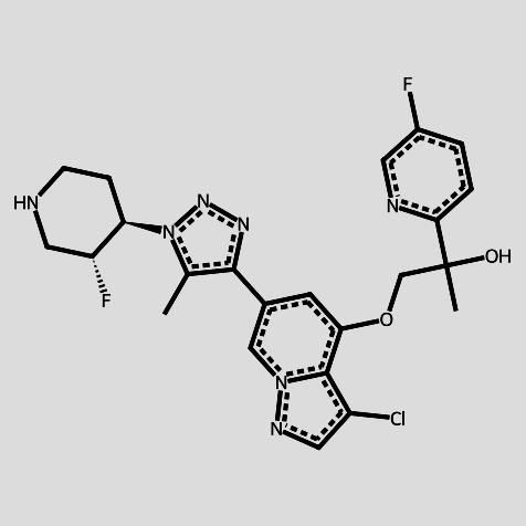 Cc1c(-c2cc(OCC(C)(O)c3ccc(F)cn3)c3c(Cl)cnn3c2)nnn1[C@@H]1CCNC[C@H]1F